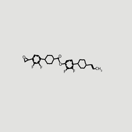 C/C=C/C1CCC(c2ccc(OC(=O)C3CCC(c4ccc(C5CO5)c(F)c4F)CC3)c(F)c2F)CC1